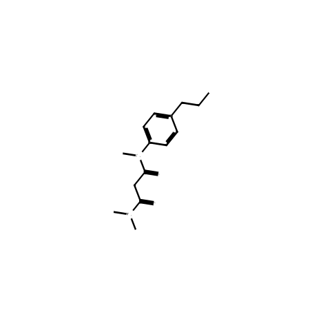 CCCc1ccc(N(C)C(=O)CC(=O)N(C)C)cc1